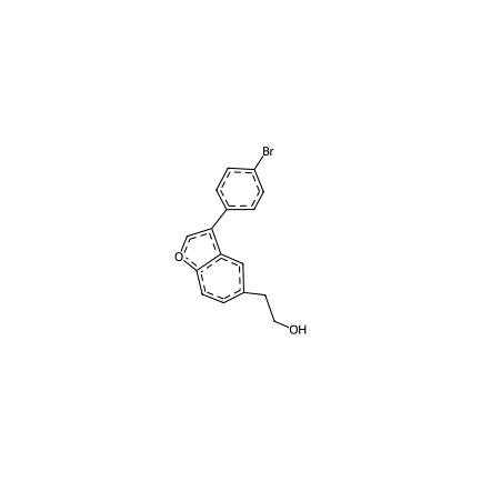 OCCc1ccc2occ(-c3ccc(Br)cc3)c2c1